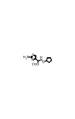 Nc1nc(C([C]=O)NOC2C=CCC2)cs1